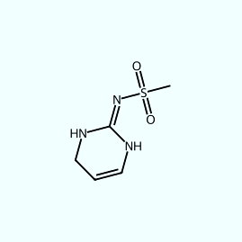 CS(=O)(=O)N=C1NC=CCN1